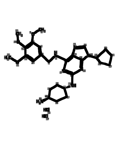 COc1cc(CNc2nc(N[C@H]3CC[C@H](N)CC3)nc3c2ncn3C2CCCC2)cc(OC)c1OC.Cl.Cl